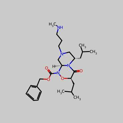 CNCCCN1C[C@H](CC(C)C)N2C(=O)[C@@H](CC(C)C)ON(C(=O)OCc3ccccc3)[C@H]2C1